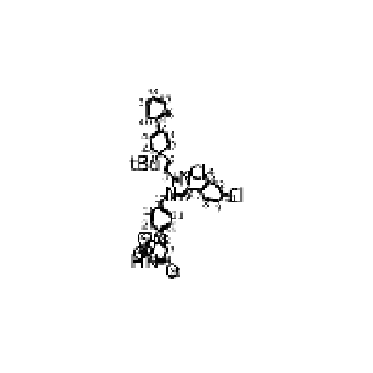 CC(C)(C)C1(C=Cc2nc(-c3ccc(Cl)cc3Cl)cn2Cc2ccc(N3CC(=O)NS3(=O)=O)cc2)C=CC(c2ccccc2)=CC1